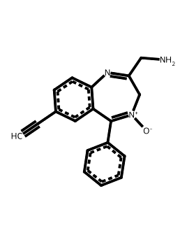 C#Cc1ccc2c(c1)C(c1ccccc1)=[N+]([O-])CC(CN)=N2